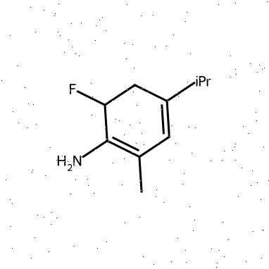 CC1=C(N)C(F)CC(C(C)C)=C1